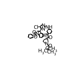 CC(C)(C)OC(=O)N1CCC[C@@H](C(=O)Nc2cccc(Nc3ncc(Cl)c(-c4cn(S(=O)(=O)c5ccccc5)c5ccccc45)n3)c2)C1